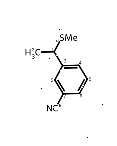 CSC(C)c1cccc(C#N)c1